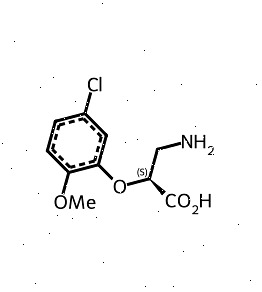 COc1ccc(Cl)cc1O[C@@H](CN)C(=O)O